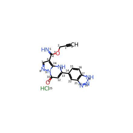 C#CCOC(=N)c1cnn2c(=O)cc(-c3ccc4[nH]nnc4c3)[nH]c12.Cl